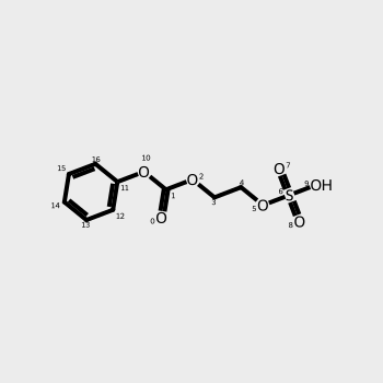 O=C(OCCOS(=O)(=O)O)Oc1ccccc1